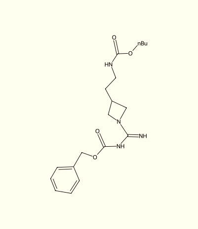 CCCCOC(=O)NCCC1CN(C(=N)NC(=O)OCc2ccccc2)C1